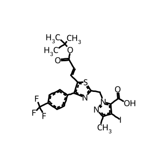 Cc1nn(Cc2nc(-c3ccc(C(F)(F)F)cc3)c(C=CC(=O)OC(C)(C)C)s2)c(C(=O)O)c1I